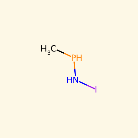 CPNI